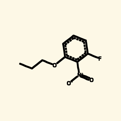 CCCOc1cccc(F)c1[N+](=O)[O-]